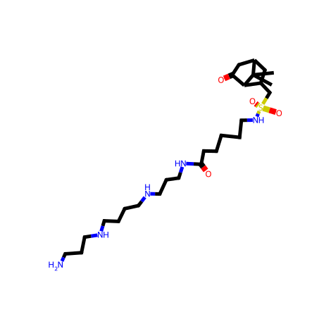 CC1(C)C2CC(=O)C1C(CS(=O)(=O)NCCCCCC(=O)NCCCNCCCCNCCCN)C2